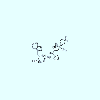 CC(C)(C=C(C#N)C(=O)N1CCC[C@@H]1CNC(=O)N[C@@H](Cc1coc2ccccc12)B(O)O)N1CCC(F)(F)C1